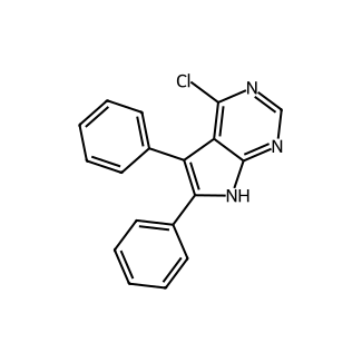 Clc1ncnc2[nH]c(-c3ccccc3)c(-c3ccccc3)c12